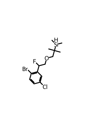 C[SiH](C)C(C)(C)COCC(F)c1cc(Cl)ccc1Br